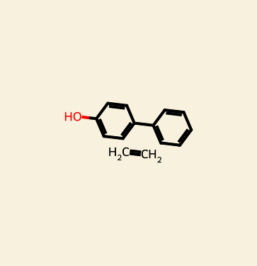 C=C.Oc1ccc(-c2ccccc2)cc1